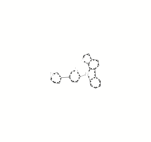 c1cncc(-c2ccc(-n3c4ccccc4c4ccc5ccsc5c43)nc2)c1